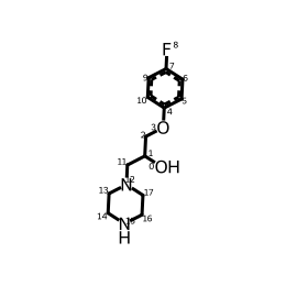 OC(COc1ccc(F)cc1)CN1CCNCC1